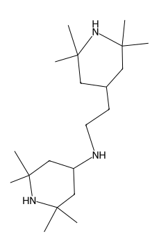 CC1(C)CC(CCNC2CC(C)(C)NC(C)(C)C2)CC(C)(C)N1